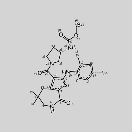 CC1(C)CNC(=O)c2sc(Nc3ccc(I)cc3F)c(C(=O)N3CC[C@H](NC(=O)OC(C)(C)C)C3)c2C1